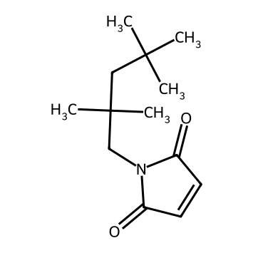 CC(C)(C)CC(C)(C)CN1C(=O)C=CC1=O